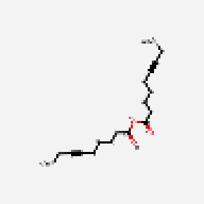 CCCCCCCCCCCC#CCCCCC(=O)OC(=O)CCCCC#CCCCCCCCCCCC